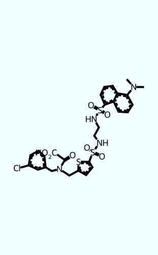 CN(C)c1cccc2c(S(=O)(=O)NCCNS(=O)(=O)c3ccc(CN(Cc4cccc(Cl)c4)C(=O)C(=O)O)s3)cccc12